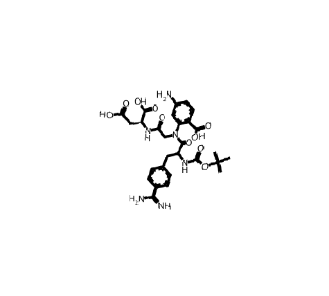 CC(C)(C)OC(=O)NC(Cc1ccc(C(=N)N)cc1)C(=O)N(CC(=O)N[C@@H](CC(=O)O)C(=O)O)c1cc(N)ccc1C(=O)O